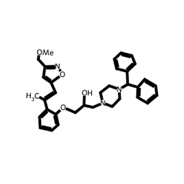 COCc1cc(/C=C(\C)c2ccccc2OCC(O)CN2CCN(C(c3ccccc3)c3ccccc3)CC2)on1